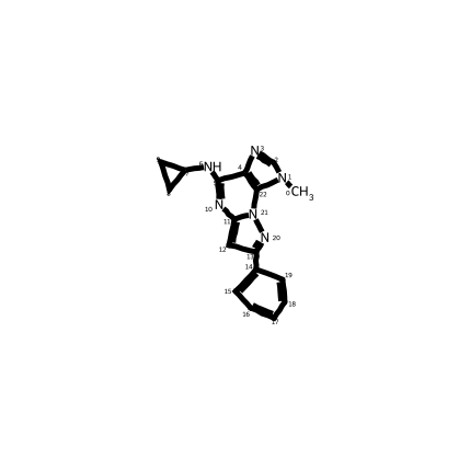 Cn1cnc2c(NC3CC3)nc3cc(-c4ccccc4)nn3c21